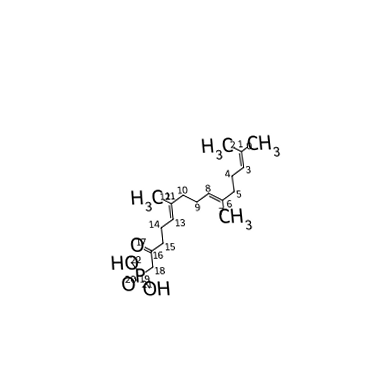 CC(C)=CCCC(C)=CCCC(C)=CCCC(=O)CP(=O)(O)O